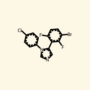 Fc1ccc(Br)c(F)c1-c1cncn1-c1ccc(Cl)cc1